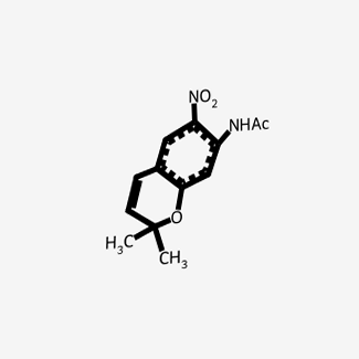 CC(=O)Nc1cc2c(cc1[N+](=O)[O-])C=CC(C)(C)O2